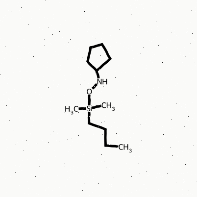 CCCC[Si](C)(C)ONC1CCCC1